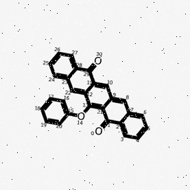 O=C1c2ccccc2C=c2cc3c(c(Oc4ccccc4)c21)=Cc1ccccc1C3=O